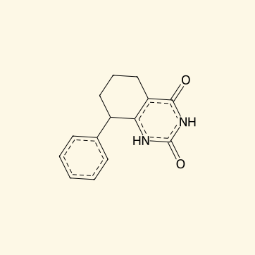 O=c1[nH]c2c(c(=O)[nH]1)CCCC2c1ccccc1